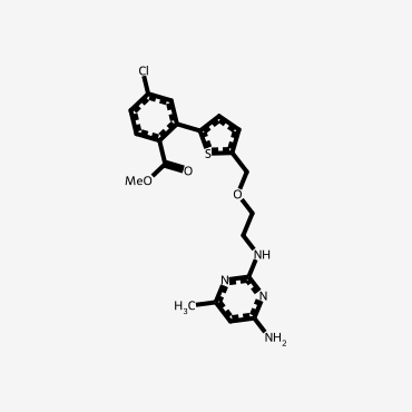 COC(=O)c1ccc(Cl)cc1-c1ccc(COCCNc2nc(C)cc(N)n2)s1